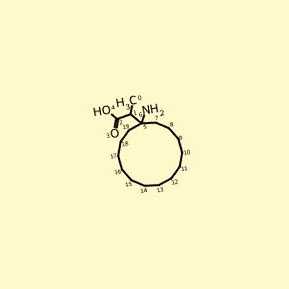 CC(C(=O)O)C1(N)CCCCCCCCCCCCC1